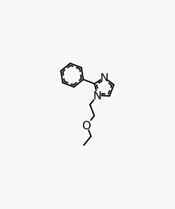 CCOCCn1ccnc1-c1ccccc1